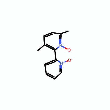 Cc1ccc(C)[n+]([O-])c1-c1cccc[n+]1[O-]